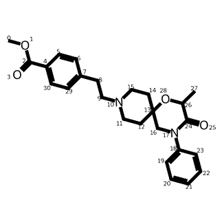 COC(=O)c1ccc(CCN2CCC3(CC2)CN(c2ccccc2)C(=O)C(C)O3)cc1